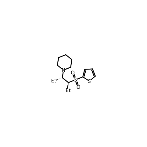 CC[C@@H]([C@H](CC)S(=O)(=O)c1cccs1)N1CCCCC1